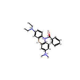 CCN(CC)c1ccc2c(c1)Sc1cc(N(C)C)ccc1N2C(=O)c1ccccc1